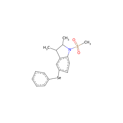 CC1c2cc([Se]c3ccccc3)ccc2N(S(C)(=O)=O)C1C